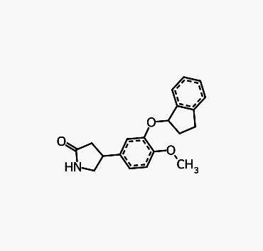 COc1ccc(C2CNC(=O)C2)cc1OC1CCc2ccccc21